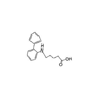 O=C(O)CCCCNc1ccccc1-c1ccccc1